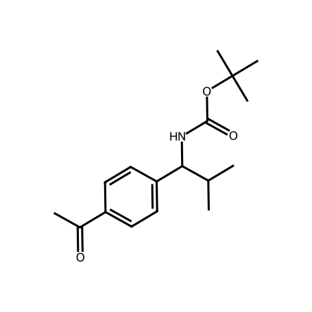 CC(=O)c1ccc(C(NC(=O)OC(C)(C)C)C(C)C)cc1